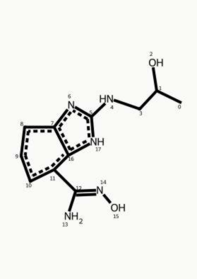 CC(O)CNc1nc2cccc(C(N)=NO)c2[nH]1